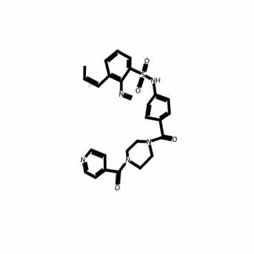 C=Nc1c(/C=C\C)cccc1S(=O)(=O)Nc1ccc(C(=O)N2CCN(C(=O)c3ccncc3)CC2)cc1